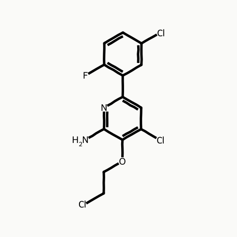 Nc1nc(-c2cc(Cl)ccc2F)cc(Cl)c1OCCCl